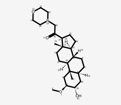 CO[C@H]1C[C@@]2(C)[C@@H](CC[C@@H]3[C@@H]2CC[C@]2(C)C(C(=O)CN4CCOCC4)CC[C@@H]32)C[C@@H]1O